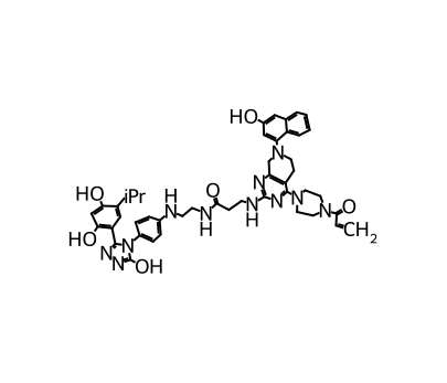 C=CC(=O)N1CCN(c2nc(NCCC(=O)NCCNc3ccc(-n4c(O)nnc4-c4cc(C(C)C)c(O)cc4O)cc3)nc3c2CCN(c2cc(O)cc4ccccc24)C3)CC1